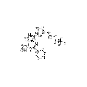 C[C@@H]1COCCN1c1cc(CO)c2cnn(-c3ccn(COCC[Si](C)(C)C)n3)c2n1